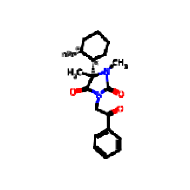 CCC[C@@H]1CCCC[C@@H]1C1(C)C(=O)N(CC(=O)c2ccccc2)C(=O)N1C